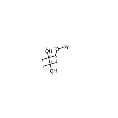 CC(C)OCC(C)(O)C(C)(C)O